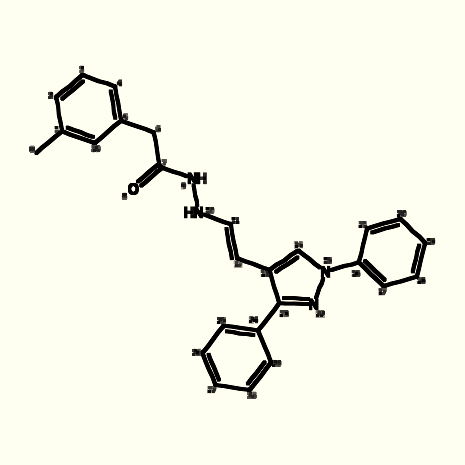 Cc1cccc(CC(=O)NN/C=C/c2cn(-c3ccccc3)nc2-c2ccccc2)c1